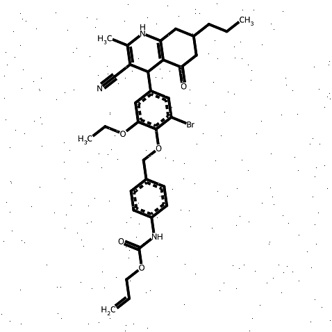 C=CCOC(=O)Nc1ccc(COc2c(Br)cc(C3C(C#N)=C(C)NC4=C3C(=O)CC(CCC)C4)cc2OCC)cc1